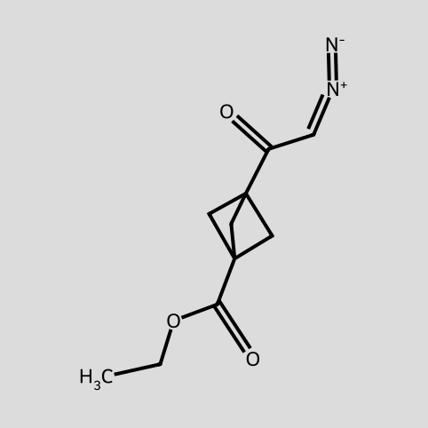 CCOC(=O)C12CC(C(=O)C=[N+]=[N-])(C1)C2